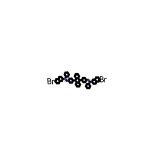 Brc1ccc2cc(/C(=C/c3ccc(-c4c5ccccc5c(-c5ccc(/C=C(\c6ccccc6)c6ccc7cc(Br)ccc7c6)cc5)c5ccccc45)cc3)c3ccccc3)ccc2c1